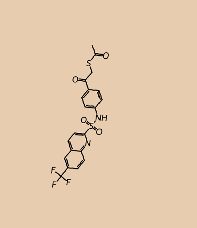 CC(=O)SCC(=O)c1ccc(NS(=O)(=O)c2ccc3cc(C(F)(F)F)ccc3n2)cc1